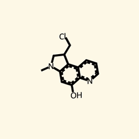 CN1CC(CCl)c2c1cc(O)c1ncccc21